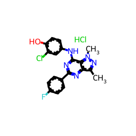 Cc1nn(C)c2c(Nc3ccc(O)c(Cl)c3)nc(-c3ccc(F)cc3)nc12.Cl